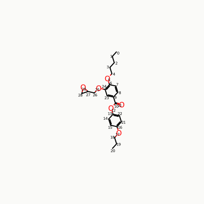 CCCCCOc1ccc(C(=O)Oc2ccc(OCCC)cc2)cc1OCC1CO1